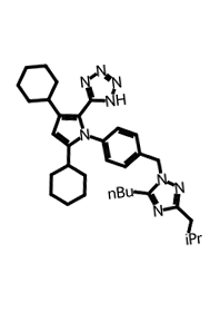 CCCCc1nc(CC(C)C)nn1Cc1ccc(-n2c(C3CCCCC3)cc(C3CCCCC3)c2-c2nnn[nH]2)cc1